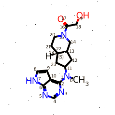 CN(c1ncnc2[nH]ccc12)C1CC2CN(C(=O)CO)CC[C@H]2C1